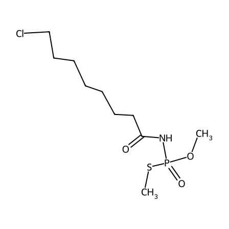 COP(=O)(NC(=O)CCCCCCCCl)SC